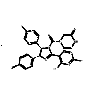 O=C1CN(C(=O)N2C(c3cnc(C(F)(F)F)nc3O)=N[C@@H](c3ccc(Cl)cc3)[C@H]2c2ccc(Cl)cc2)CCN1